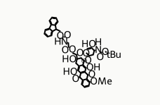 COc1cccc2c1C(=O)c1c(O)c3c(c(O)c1C2=O)CC(O)(C(=O)COC(=O)CNC(=O)OCC1c2ccccc2-c2ccccc21)C[C@@H]3OC1CC(NC(=O)OC(C)(C)C)C(O)=CO1